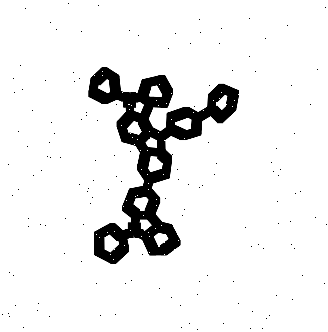 c1ccc(-c2ccc(C3c4ccc(-c5ccc6c(c5)c5ccccc5n6-c5ccccc5)cc4-c4ccc5c(c43)c3ccccc3n5-c3ccccc3)cc2)cc1